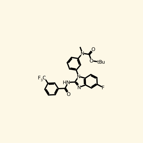 CN(C(=O)OC(C)(C)C)c1cccc(-n2c(NC(=O)c3cccc(C(F)(F)F)c3)nc3cc(F)ccc32)c1